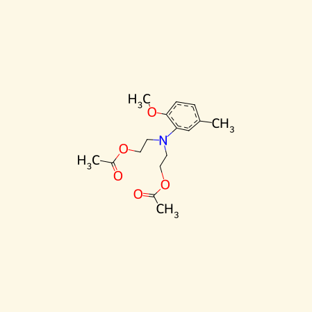 COc1ccc(C)cc1N(CCOC(C)=O)CCOC(C)=O